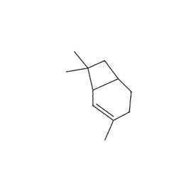 CC1=CC2C(CC1)CC2(C)C